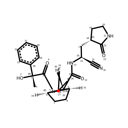 C[C@](O)(C(=O)N1[C@@H]2CC[C@H]([C@H]1C(=O)N[C@H](C#N)C[C@@H]1CCNC1=O)C(F)(F)C2)c1ccccc1